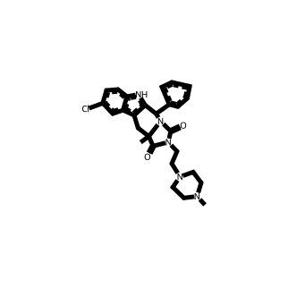 CN1CCN(CCN2C(=O)N3C(c4ccccc4)c4[nH]c5ccc(Cl)cc5c4CC3(C)C2=O)CC1